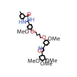 COc1cc(C2NC(=O)c3cc(C)ccc3N2)ccc1OCCCCOc1cc(-c2cc(-c3cc(OC)c(OC)c(OC)c3)on2)ccc1OC